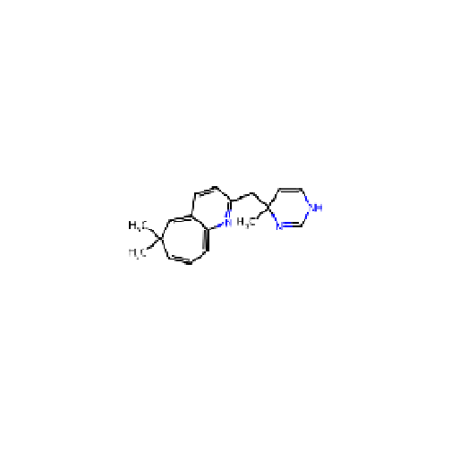 CC1(C)C=CC=c2nc(CC3(C)C=CNC=N3)ccc2=C1